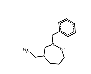 CCC1CCCNN(Cc2ccccc2)C1